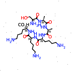 C[C@H](NC(=O)[C@H](C)NC(=O)[C@@H](N)CO)C(=O)N[C@@H](CCCCN)C(=O)N[C@@H](CCCCN)C(=O)N[C@@H](CCCCN)C(=O)O